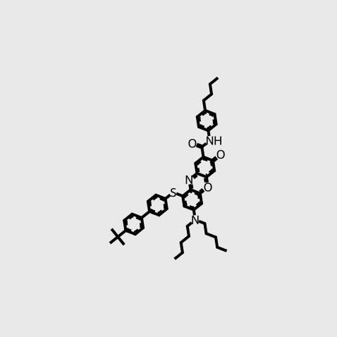 CCCCCN(CCCCC)c1cc(Sc2ccc(-c3ccc(C(C)(C)C)cc3)cc2)c2nc3cc(C(=O)Nc4ccc(CCCC)cc4)c(=O)cc-3oc2c1